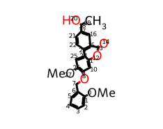 COc1ccccc1COc1cc2oc(=O)c3cc(C(C)O)ccc3c2cc1OC